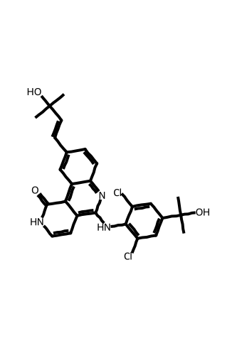 CC(C)(O)/C=C/c1ccc2nc(Nc3c(Cl)cc(C(C)(C)O)cc3Cl)c3cc[nH]c(=O)c3c2c1